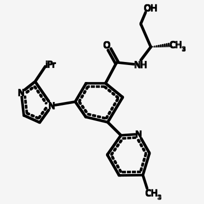 Cc1ccc(-c2cc(C(=O)N[C@@H](C)CO)cc(-n3ccnc3C(C)C)c2)nc1